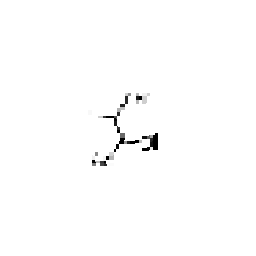 CCCC(C)C(O)C(C)=O